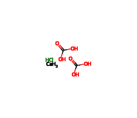 Cl.O=C(O)O.O=C(O)O.[CaH2]